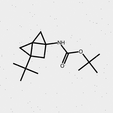 CC(C)(C)OC(=O)NC12CC3(C(C)(C)C)CC13C2